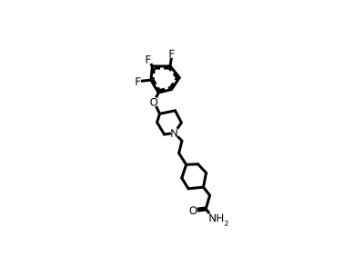 NC(=O)CC1CCC(CCN2CCC(Oc3ccc(F)c(F)c3F)CC2)CC1